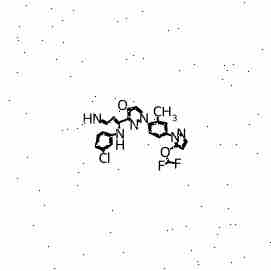 Cc1cc(-n2nccc2OC(F)F)ccc1-n1ccc(=O)c(/C(=C/C=N)Nc2cccc(Cl)c2)n1